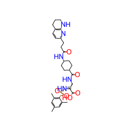 Cc1cc(C)c(S(=O)(=O)N[C@@H](CNC(=O)C2CCC(NC(=O)CCc3ccc4c(n3)NCCC4)CC2)C(=O)O)c(C)c1